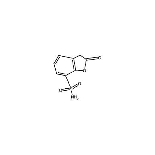 NS(=O)(=O)c1cccc2c1OC(=O)C2